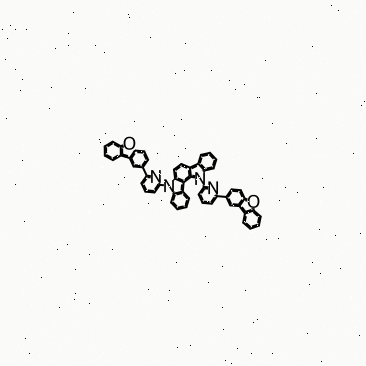 c1cc(-c2ccc3oc4ccccc4c3c2)nc(-n2c3ccccc3c3c2ccc2c4ccccc4n(-c4cccc(-c5ccc6oc7ccccc7c6c5)n4)c23)c1